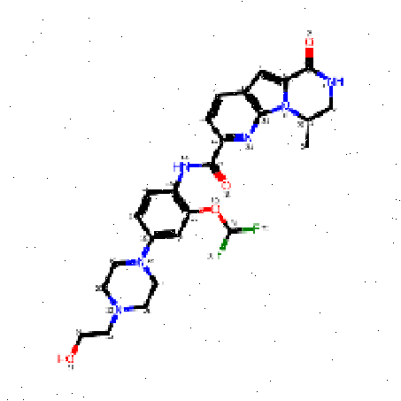 C[C@@H]1CNC(=O)c2cc3ccc(C(=O)Nc4ccc(N5CCN(CCO)CC5)cc4OC(F)F)nc3n21